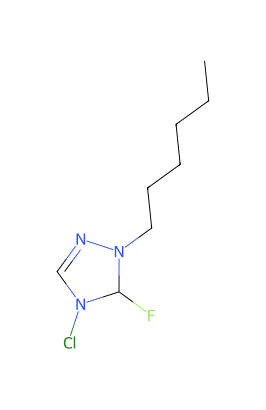 CCCCCCN1N=CN(Cl)C1F